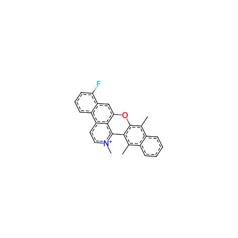 Cc1c2c(c(C)c3ccccc13)-c1c3c(cc4c(F)cccc4c3cc[n+]1C)O2